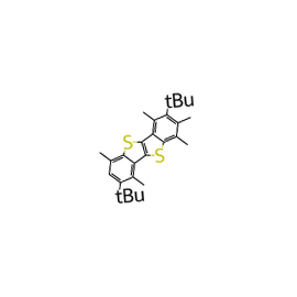 Cc1c(C(C)(C)C)c(C)c2c(sc3c2sc2c(C)cc(C(C)(C)C)c(C)c23)c1C